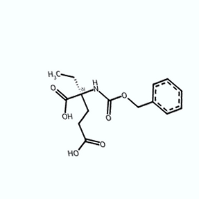 CC[C@@](CCC(=O)O)(NC(=O)OCc1ccccc1)C(=O)O